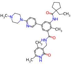 CCC1(C(=O)Nc2cc(-c3ccc(N4CCN(C)CC4)nc3)cc(C(=O)NCc3c(C)cc(C)[nH]c3=O)c2C)CCCC1